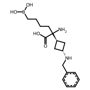 NC(CCCCB(O)O)(C(=O)O)[C@H]1C[C@H](NCc2ccccc2)C1